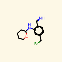 N=Cc1ccc(CBr)cc1NC1CCCCO1